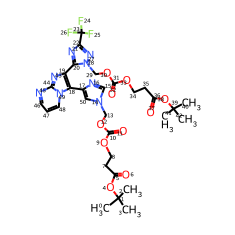 CC(C)(C)OC(=O)CCOC(=O)OCn1cnc(-c2c(-c3nc(C(F)(F)F)nn3COC(=O)OCCC(=O)OC(C)(C)C)nc3ncccn23)c1